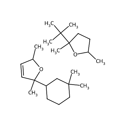 CC1C=CC(C)(C2CCCC(C)(C)C2)O1.CC1CCC(C)(C(C)(C)C)O1